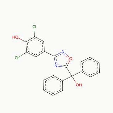 Oc1c(Cl)cc(-c2noc(C(O)(c3ccccc3)c3ccccc3)n2)cc1Cl